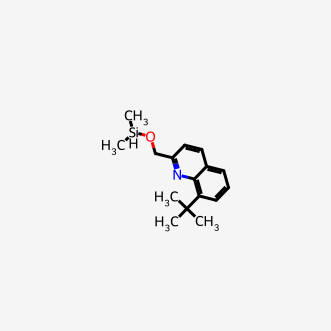 C[SiH](C)OCc1ccc2cccc(C(C)(C)C)c2n1